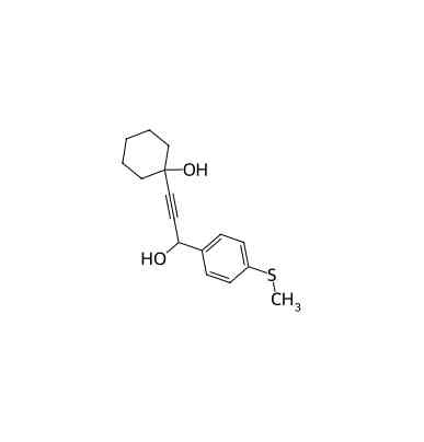 CSc1ccc(C(O)C#CC2(O)CCCCC2)cc1